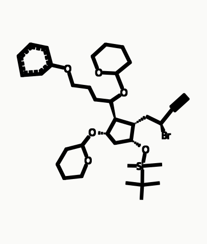 C#C[C@@H](Br)C[C@H]1[C@H](C(CCCOc2ccccc2)OC2CCCCO2)[C@@H](OC2CCCCO2)C[C@H]1O[Si](C)(C)C(C)(C)C